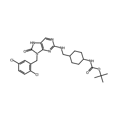 CC(C)(C)OC(=O)NC1CCC(CNc2ncc3[nH]c(=O)n(Cc4cc(Cl)ccc4Cl)c3n2)CC1